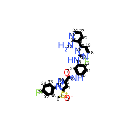 C[S+]([O-])c1cc(C(=O)Nc2ccc(F)c(Nc3nccc(-c4cccnc4N)n3)c2)nn1-c1ccc(F)cc1